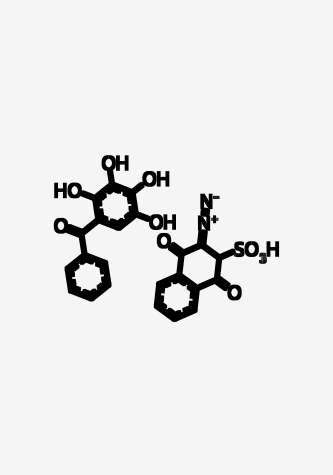 O=C(c1ccccc1)c1cc(O)c(O)c(O)c1O.[N-]=[N+]=C1C(=O)c2ccccc2C(=O)C1S(=O)(=O)O